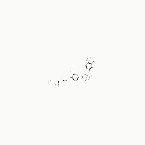 COC1CC(c2nc(Nc3ccc4[nH]ncc4c3Cl)n(C)n2)=CC=C1OCC(=O)NC(C)(C)CO